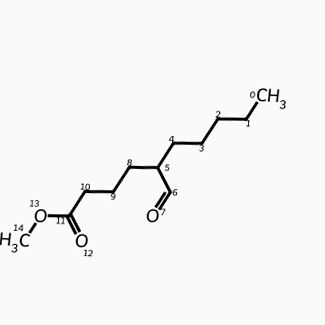 CCCCCC(C=O)CCCC(=O)OC